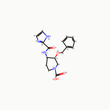 O=C(N[C@@H]1CCN(C(=O)O)C[C@@H]1OCc1ccccc1)c1ncc[nH]1